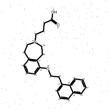 O=C(O)CCCN1CCc2cccc(OCCc3cccc4ccccc34)c2CC1